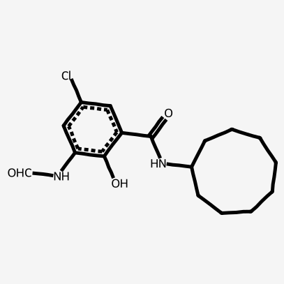 O=CNc1cc(Cl)cc(C(=O)NC2CCCCCCCC2)c1O